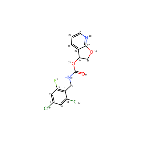 O=C(NCc1c(F)cc(Cl)cc1Cl)OC1COc2ncccc21